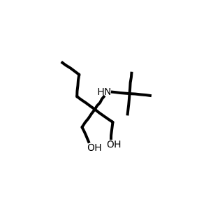 CCCC(CO)(CO)NC(C)(C)C